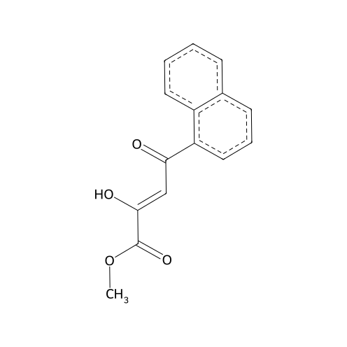 COC(=O)C(O)=CC(=O)c1cccc2ccccc12